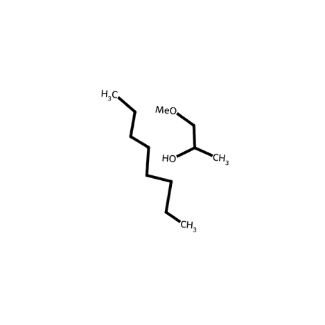 CCCCCCCC.COCC(C)O